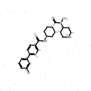 CN(C(=O)[C@H]1CC[C@H](NC(=O)c2ccc(-c3cccc(F)c3)nc2)CC1)C1CCNCC1